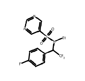 CCN(C(c1ccc(F)cc1)C(F)(F)F)S(=O)(=O)c1cncnc1